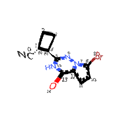 N#C[C@@H]1CC[C@H]1c1nn2c(Br)ccc2c(=O)[nH]1